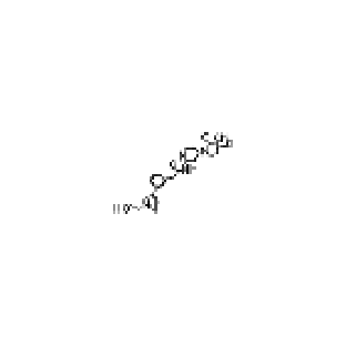 N#C[C@@]1(C2CC2)CCN(c2ccnc(NC(=O)Cc3cccc(-c4cnn(CCO)c4)c3)c2)C1=O